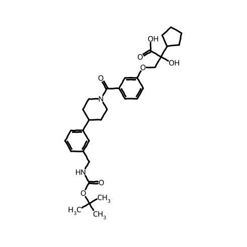 CC(C)(C)OC(=O)NCc1cccc(C2CCN(C(=O)c3cccc(OCC(O)(C(=O)O)C4CCCC4)c3)CC2)c1